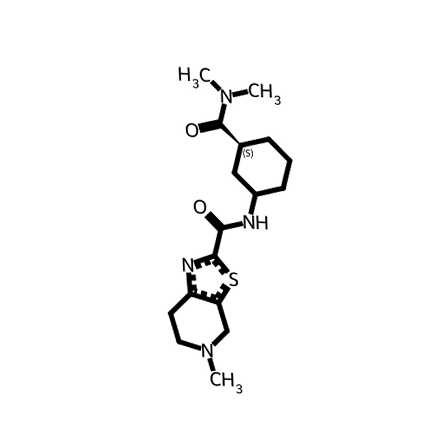 CN1CCc2nc(C(=O)NC3CCC[C@H](C(=O)N(C)C)C3)sc2C1